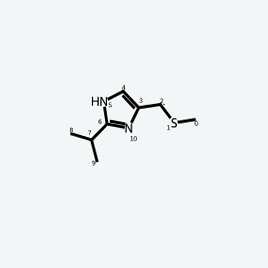 CS[CH]c1c[nH]c(C(C)C)n1